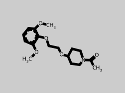 COc1cccc(OC)c1OCCOC1CCN(C(C)=O)CC1